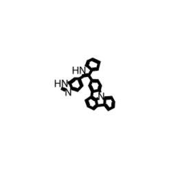 c1ccc2c(-c3ccc4c(c3)c3cccc5c6ccccc6n4c53)c(-c3ccc4nc[nH]c4c3)[nH]c2c1